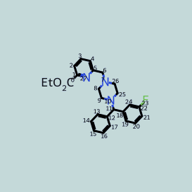 CCOC(=O)c1cccc(CN2CCN(C(c3ccccc3)c3cccc(F)c3)CC2)n1